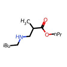 CCCOC(=O)C(C)CNCC(C)CC